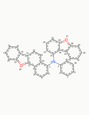 c1ccc(N(c2cccc3c2ccc2c4ccccc4oc32)c2cccc3oc4ccccc4c23)cc1